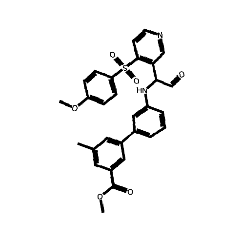 COC(=O)c1cc(C)cc(-c2cccc(NC(C=O)c3cnccc3S(=O)(=O)c3ccc(OC)cc3)c2)c1